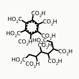 O=C(O)CC(C(=O)O)C(C(=O)O)C(C(=O)O)C(CC(=O)O)C(=O)O.O=C(O)c1c(C(=O)O)c(C(=O)O)c(C(=O)O)c(C(=O)O)c1C(=O)O